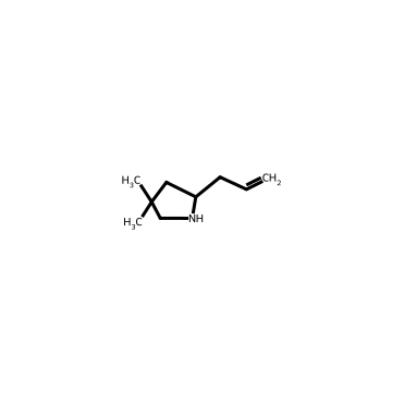 C=CCC1CC(C)(C)CN1